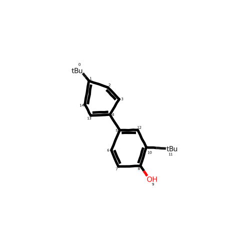 CC(C)(C)c1ccc(-c2ccc(O)c(C(C)(C)C)c2)cc1